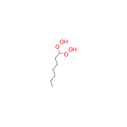 CCCCCCC(OO)OO